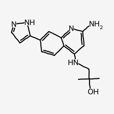 CC(C)(O)CNc1cc(N)nc2cc(-c3ccn[nH]3)ccc12